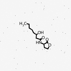 CCCCCC(O)CC(=O)NC1CCOC1=O